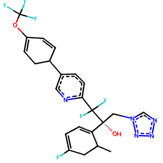 CC1CC(F)=CC=C1[C@](O)(Cn1cnnn1)C(F)(F)c1ccc(C2C=CC(OC(F)(F)F)=CC2)cn1